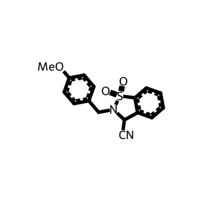 COc1ccc(CN2C(C#N)c3ccccc3S2(=O)=O)cc1